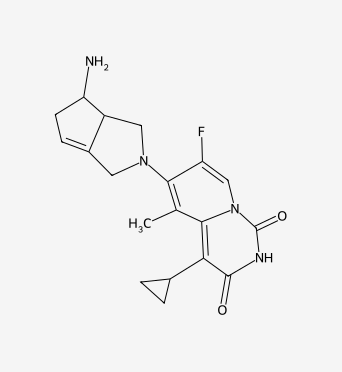 Cc1c(N2CC3=CCC(N)C3C2)c(F)cn2c(=O)[nH]c(=O)c(C3CC3)c12